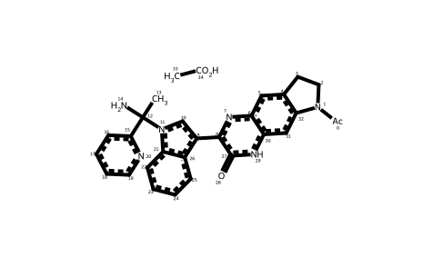 CC(=O)N1CCc2cc3nc(-c4cn(C(C)(N)c5ccccn5)c5ccccc45)c(=O)[nH]c3cc21.CC(=O)O